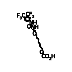 O=C(O)COCCCCCCCOCCNC(=O)Nc1ccc(C(F)(F)F)c(C(F)(F)F)c1